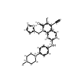 C#Cc1c(C)c(=O)n(Cc2ccno2)c2nc(Nc3ccc(N4CCN(C)CC4)cc3)ncc12